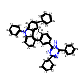 Cc1ccc(C2=NC(c3ccccc3)=NC(c3ccccc3)N2)cc1-c1cccc2c1c1cc(-c3ccccc3)ccc1n2-c1ccccc1